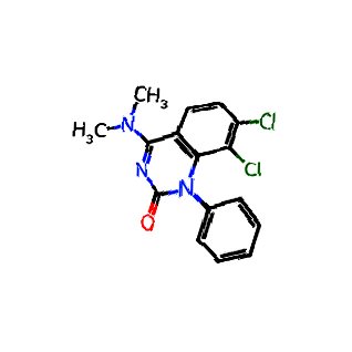 CN(C)c1nc(=O)n(-c2ccccc2)c2c(Cl)c(Cl)ccc12